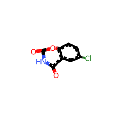 O=c1[nH]c(=O)c2cc(Cl)ccc2o1